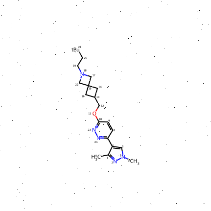 Cc1nn(C)cc1-c1ccc(OCC2CC3(C2)CN(CCC(C)(C)C)C3)nn1